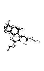 CCOC(=O)CN(CC(=O)OCC)c1cc2onc(C)c2cc1C